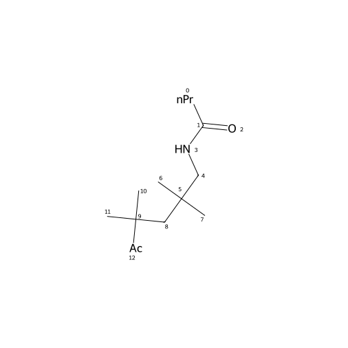 CCCC(=O)NCC(C)(C)CC(C)(C)C(C)=O